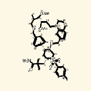 CNC(=O)C(C)(C)C[C@@H]1C[C@H](c2ccc(COCC(C)COC)cc2)[C@@H](OCc2ccc3c(c2)N(CCCOC)CCO3)CN1S(=O)(=O)c1ccc(C)cc1